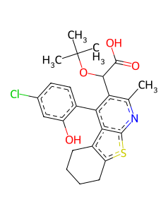 Cc1nc2sc3c(c2c(-c2ccc(Cl)cc2O)c1C(OC(C)(C)C)C(=O)O)CCCC3